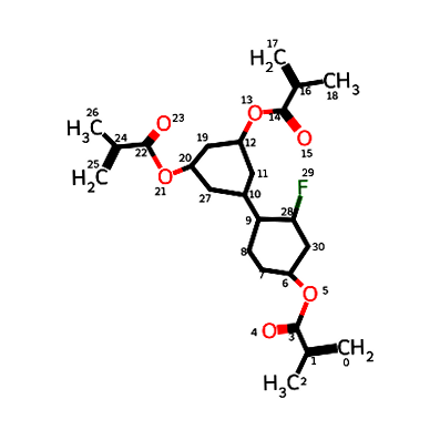 C=C(C)C(=O)OC1CCC(C2CC(OC(=O)C(=C)C)CC(OC(=O)C(=C)C)C2)C(F)C1